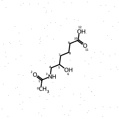 CC(=O)NCC(O)CCCC(=O)O